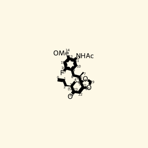 C=CC[C@H]1C[C@]2([C@H](C)Cc3cc(NC(C)=O)c(OC)cc3F)OCOC2=CC1=O